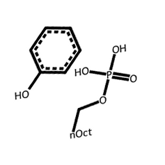 CCCCCCCCCOP(=O)(O)O.Oc1ccccc1